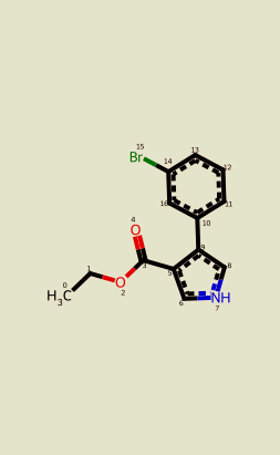 CCOC(=O)c1c[nH]cc1-c1cccc(Br)c1